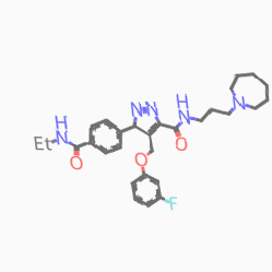 CCNC(=O)c1ccc(C2N=NC(C(=O)NCCCN3CCCCCC3)=C2COc2cccc(F)c2)cc1